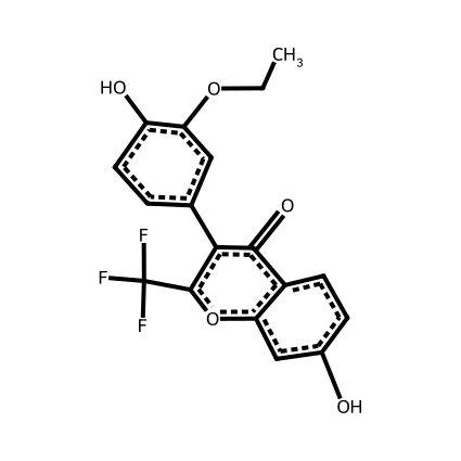 CCOc1cc(-c2c(C(F)(F)F)oc3cc(O)ccc3c2=O)ccc1O